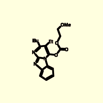 CCc1c(C(C)CC)nc2nc3ccccc3n2c1OC(=O)OCCOC